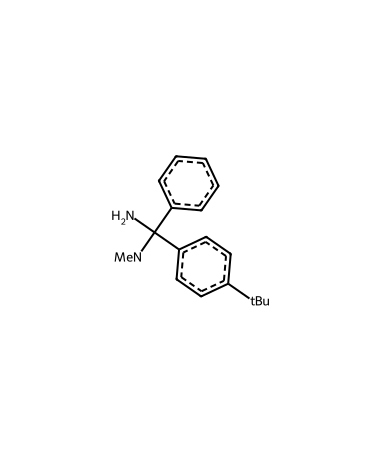 CNC(N)(c1ccccc1)c1ccc(C(C)(C)C)cc1